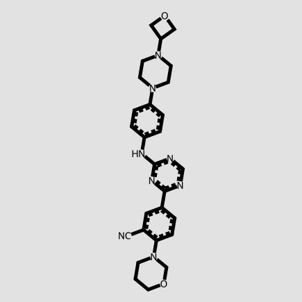 N#Cc1cc(-c2ncnc(Nc3ccc(N4CCN(C5COC5)CC4)cc3)n2)ccc1N1CCCOC1